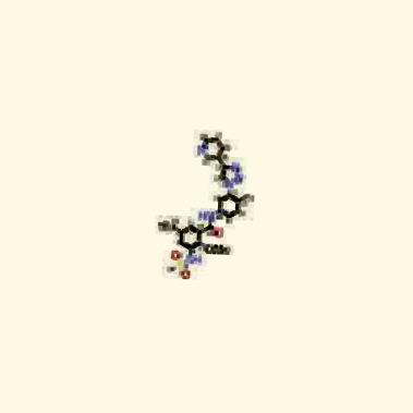 COc1c(NS(C)(=O)=O)cc(C(C)(C)C)cc1C(=O)Nc1ccc(C)c(-n2cc(-c3cccnc3)nn2)c1